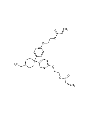 C=CC(=O)OCCOc1ccc(C2(c3ccc(OCCOC(=O)C=C)cc3)CCC(CC)CC2)cc1